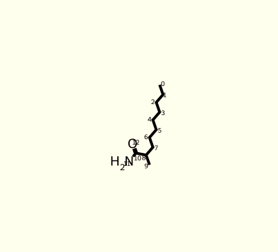 CCCCCCCCC(C)C(N)=O